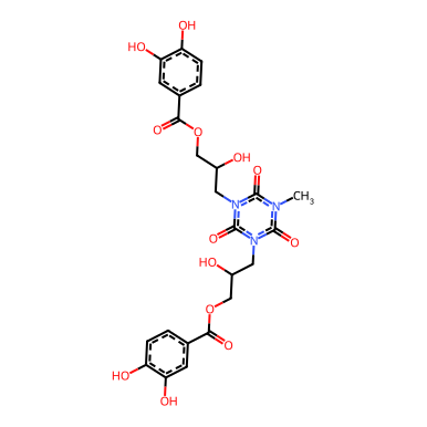 Cn1c(=O)n(CC(O)COC(=O)c2ccc(O)c(O)c2)c(=O)n(CC(O)COC(=O)c2ccc(O)c(O)c2)c1=O